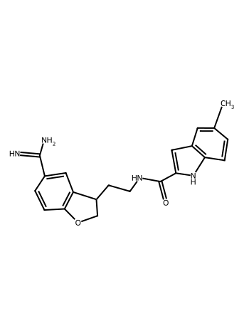 Cc1ccc2[nH]c(C(=O)NCCC3COc4ccc(C(=N)N)cc43)cc2c1